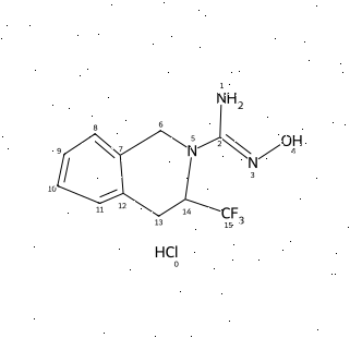 Cl.NC(=NO)N1Cc2ccccc2CC1C(F)(F)F